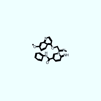 C/N=C(/COc1ccnc2cc(OC)ccc12)n1cc(C(=O)Nc2ccccc2)ccc1=N